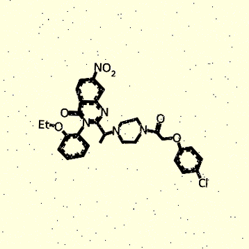 CCOc1ccccc1-n1c(C(C)N2CCN(C(=O)COc3ccc(Cl)cc3)CC2)nc2cc([N+](=O)[O-])ccc2c1=O